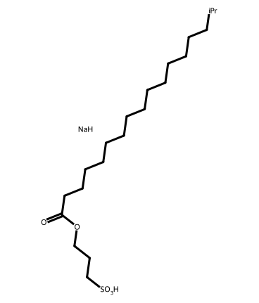 CC(C)CCCCCCCCCCCCCCC(=O)OCCCS(=O)(=O)O.[NaH]